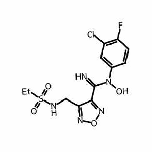 CCS(=O)(=O)NCc1nonc1C(=N)N(O)c1ccc(F)c(Cl)c1